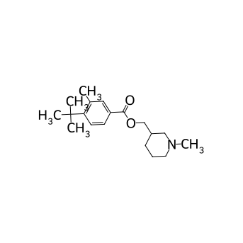 Cc1cc(C(=O)OCC2CCCN(C)C2)ccc1C(C)(C)C